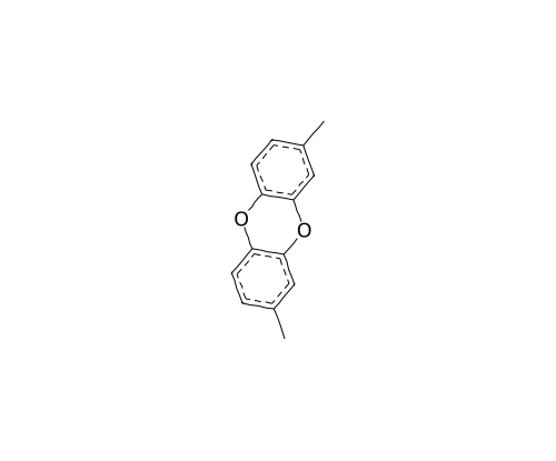 Cc1ccc2c(c1)Oc1cc(C)ccc1O2